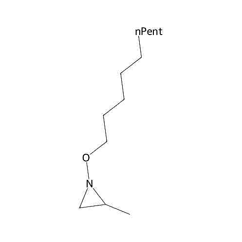 CCCCCCCCCCON1CC1C